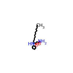 CCCCCCCCCCCCC(Nc1ccccc1)C(=O)CC(N)=O